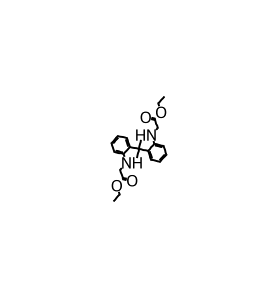 CCOC(=O)CNc1ccccc1C(C)(C)c1ccccc1NCC(=O)OCC